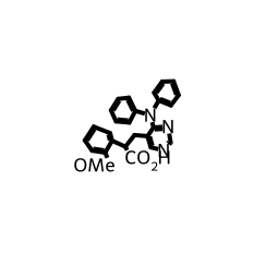 COc1ccccc1C(Cc1cncnc1N(c1ccccc1)c1ccccc1)C(=O)O